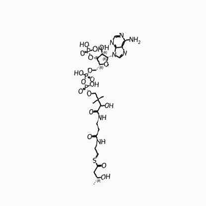 C[C@@H](O)CC(=O)SCCNC(=O)CCNC(=O)C(O)C(C)(C)COP(=O)(O)OP(=O)(O)OC[C@H]1O[C@@H](n2cnc3c(N)ncnc32)[C@H](O)[C@H]1OP(=O)(O)O